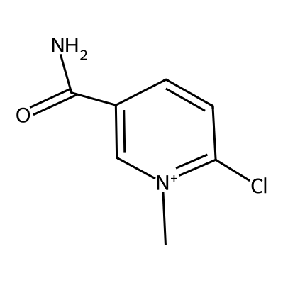 C[n+]1cc(C(N)=O)ccc1Cl